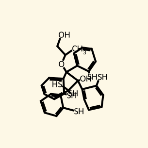 CC(CO)OC(c1ccccc1S)(c1ccccc1S)C(O)(c1ccccc1S)C(S)(S)c1ccccc1S